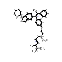 CC/C(=C(/c1ccc(OCCN(C/C=C/C(=O)N(C)C)C(=O)O)cc1)c1ccc2c(cnn2C2CCCCO2)c1)c1ccccc1